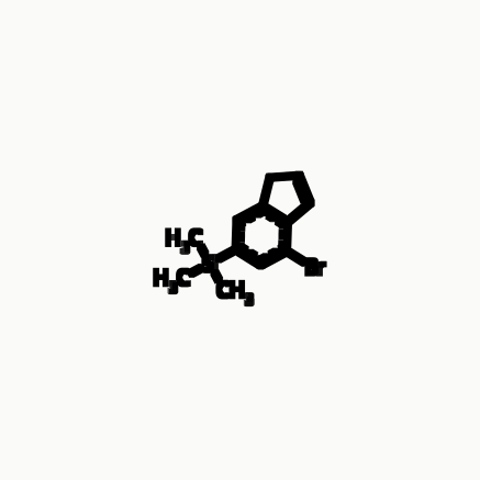 C[Si](C)(C)c1cc(Br)c2c(c1)CC=C2